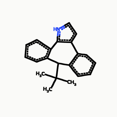 CC(C)(C)C1c2ccccc2-c2cc[nH]c2-c2ccccc21